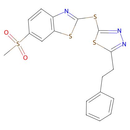 CS(=O)(=O)c1ccc2nc(Sc3nnc(CCc4ccccc4)s3)sc2c1